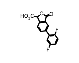 O=C1OC(C(=O)O)c2ccc(-c3cc(F)ccc3F)cc21